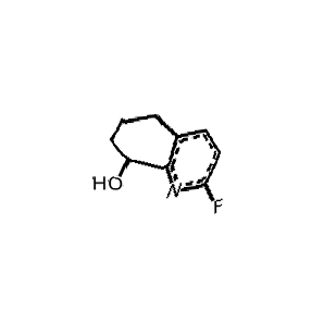 OC1CCCc2ccc(F)nc21